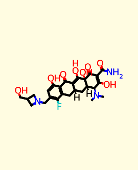 CN(C)[C@@H]1C(O)=C(C(N)=O)C(=O)[C@@]2(O)C(O)=C3C(=O)c4c(O)cc(CN5CC(CO)C5)c(F)c4C[C@H]3C[C@@H]12